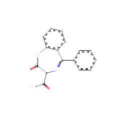 NC(=O)C1N=C(c2ccccc2)c2ccccc2NC1=O